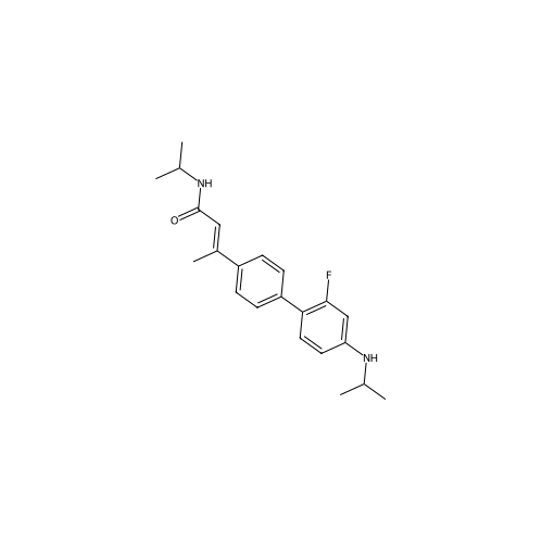 C/C(=C\C(=O)NC(C)C)c1ccc(-c2ccc(NC(C)C)cc2F)cc1